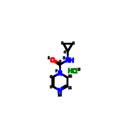 Cl.O=C(NC1CC1)N1C=CN=CC1